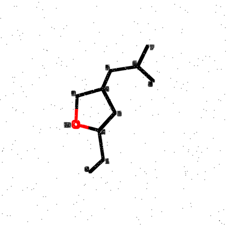 CCC1CC(CC(C)C)CO1